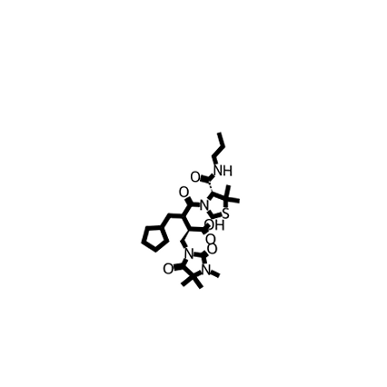 CCCNC(=O)[C@H]1N(C(=O)C(CC2CCCC2)[C@H](CN2C(=O)N(C)C(C)(C)C2=O)C(=O)O)CSC1(C)C